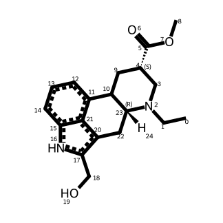 CCN1C[C@@H](C(=O)OC)CC2c3cccc4[nH]c(CO)c(c34)C[C@H]21